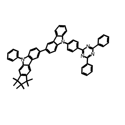 CC1(C)c2cc3c4cc(-c5ccc6c(c5)c5ccccc5n6-c5ccc(-c6nc(-c7ccccc7)nc(-c7ccccc7)n6)cc5)ccc4n(-c4ccccc4)c3cc2C(C)(C)C1(C)C